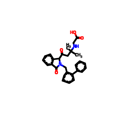 CC(C)(CC(=O)C1c2ccccc2C(=O)N1Cc1ccccc1-c1ccccc1)NCC(=O)O